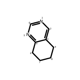 [c]1ncc2c(n1)CCCC2